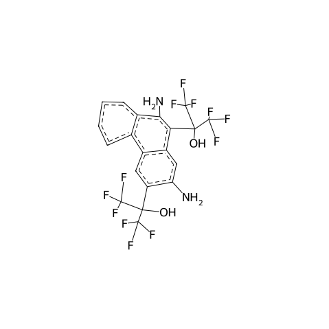 Nc1cc2c(C(O)(C(F)(F)F)C(F)(F)F)c(N)c3ccccc3c2cc1C(O)(C(F)(F)F)C(F)(F)F